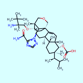 CC(C)[C@@H](C)[C@@]1(C)CC[C@]2(C)[C@H]3CC[C@@H]4[C@@]5(COC[C@@]4(C)[C@@H](OC[C@](C)(N)C(C)(C)C)[C@H](n4ncnc4C(N)=O)C5)C3=CC[C@]2(C)[C@@H]1OC(=O)O